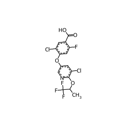 CC(Oc1ncc(Oc2cc(F)c(C(=O)O)cc2Cl)cc1Cl)C(F)(F)F